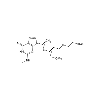 COCCOCC[C@@H](COC)O[C@H](C)n1cnc2c(=O)[nH]c(NI)nc21